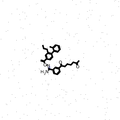 C=C(O/N=C(\N)c1cccc(C(=O)CCCCC(C)=O)c1)c1ccc(-c2ccccc2C)c(CCC)c1